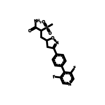 CS(=O)(=O)C(CC1CC(c2ccc(-c3c(F)cncc3F)cc2)=NO1)C(N)=O